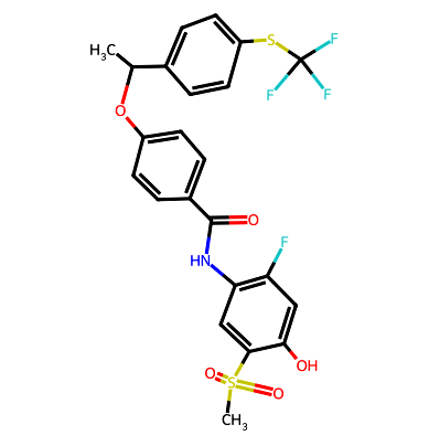 CC(Oc1ccc(C(=O)Nc2cc(S(C)(=O)=O)c(O)cc2F)cc1)c1ccc(SC(F)(F)F)cc1